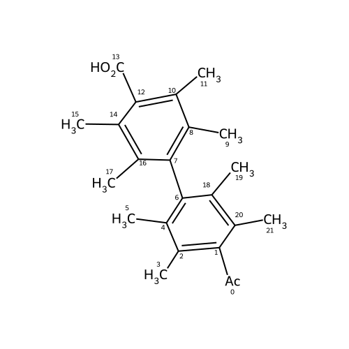 CC(=O)c1c(C)c(C)c(-c2c(C)c(C)c(C(=O)O)c(C)c2C)c(C)c1C